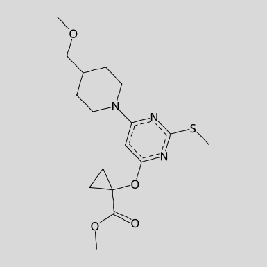 COCC1CCN(c2cc(OC3(C(=O)OC)CC3)nc(SC)n2)CC1